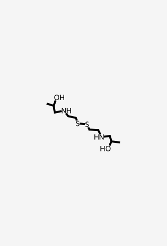 CC(O)CNCCSSCCNCC(C)O